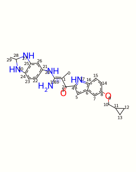 C/C(C(=O)c1cc2cc(OCC3CC3)ccc2[nH]1)=C(/N)Nc1ccc2c(c1)NC(C)N2